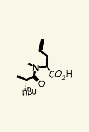 C=CC[C@@H](C(=O)O)N(C)C(=O)[C@@H](C)CCCC